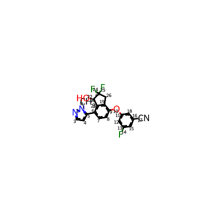 Cn1nccc1-c1ccc(Oc2cc(F)cc(C#N)c2)c2c1[C@@H](O)C(F)(F)C2